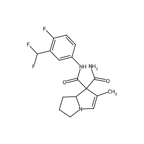 CC1=CN2CCCC2C1(C(N)=O)C(=O)Nc1ccc(F)c(C(F)F)c1